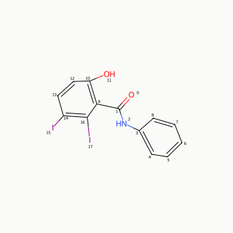 O=C(Nc1ccccc1)c1c(O)ccc(I)c1I